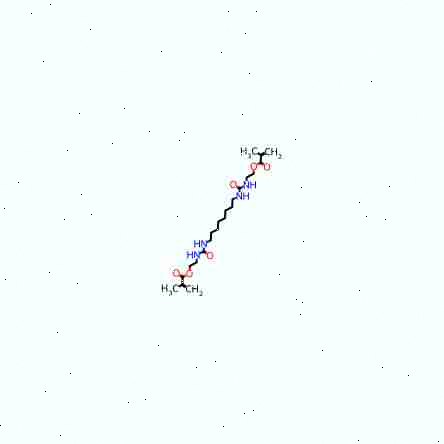 C=C(C)C(=O)OCCNC(=O)NCCCCCCCCNC(=O)NCCOC(=O)C(=C)C